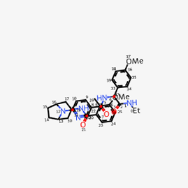 CCNC(=O)[C@@H](NC(=O)c1ccc(N2C3CCC2CC(NC(=O)c2cccc(OC)c2C)C3)nc1)c1ccc(OC)cc1